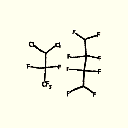 FC(F)(F)C(F)(F)C(Cl)Cl.FC(F)C(F)(F)C(F)(F)C(F)F